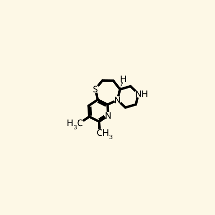 Cc1cc2c(nc1C)N1CCNC[C@@H]1CCS2